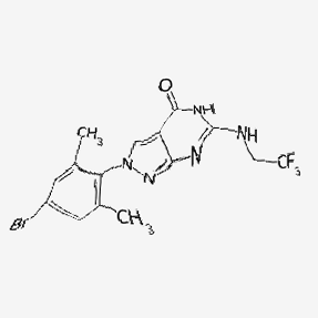 Cc1cc(Br)cc(C)c1-n1cc2c(=O)[nH]c(NCC(F)(F)F)nc2n1